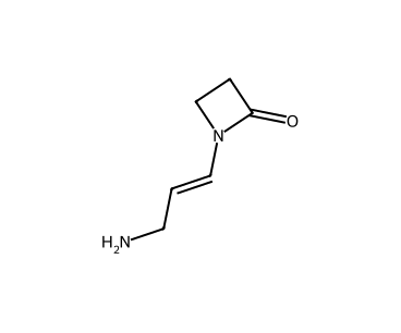 NCC=CN1CCC1=O